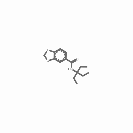 CCC(CC)(CC)NC(=O)c1ccc2c(c1)OCO2